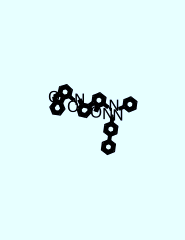 c1ccc(-c2ccc(-c3nc(-c4ccccc4)nc(-c4cccc5c4oc4ccc6oc(-c7cccc8oc9ccccc9c78)nc6c45)n3)cc2)cc1